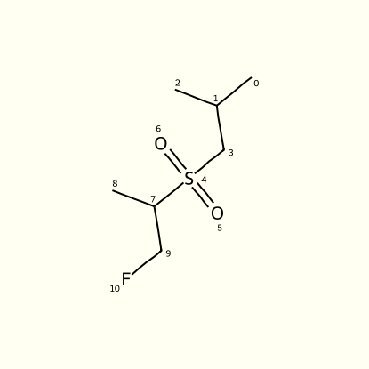 CC(C)CS(=O)(=O)C(C)CF